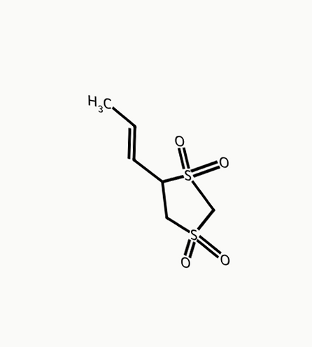 CC=CC1CS(=O)(=O)CS1(=O)=O